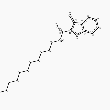 CCCCCCCCCCCCNC(=O)n1sc2ccccc2c1=O